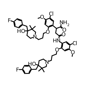 COc1cc(OCCCN2CCC(O)(Cc3ccc(F)cc3)C(C)(C)C2)c(NC(=O)CC(C(N)=O)c2cc(Cl)c(OC)cc2OCCCN2CCC(O)(Cc3ccc(F)cc3)C(C)(C)C2)cc1Cl